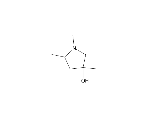 CC1CC(C)(O)CN1C